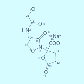 O=C(CCl)N[C@H]1CON(C2(C(=O)[O-])CCC(=O)O2)C1=O.[Na+]